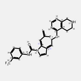 C=C(F)/C=c1\c(=C/COc2ncnc3c2CCNC3)ccn1C(=O)Nc1cccc(C(F)(F)F)c1